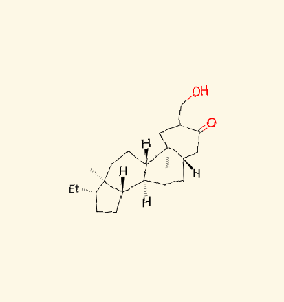 CC[C@H]1CC[C@H]2[C@@H]3CC[C@H]4CC(=O)C(CO)C[C@]4(C)[C@H]3CC[C@]12C